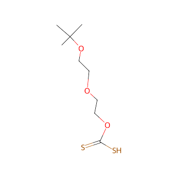 CC(C)(C)OCCOCCOC(=S)S